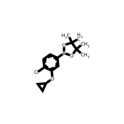 CC1(C)OB(c2ccc(Cl)c(OC3CC3)c2)OC1(C)C